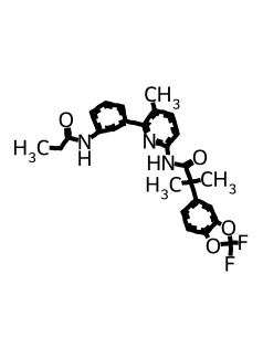 CCC(=O)Nc1cccc(-c2nc(NC(=O)C(C)(C)c3ccc4c(c3)OC(F)(F)O4)ccc2C)c1